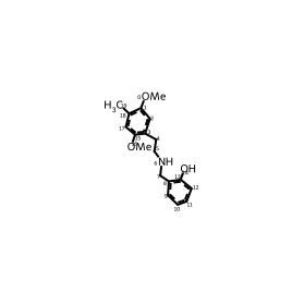 COc1cc(CCNCc2ccccc2O)c(OC)cc1C